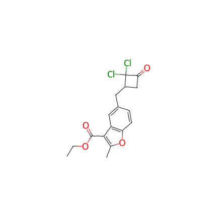 CCOC(=O)c1c(C)oc2ccc(CC3CC(=O)C3(Cl)Cl)cc12